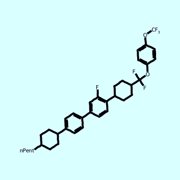 CCCCCC1CCC(c2ccc(-c3ccc(C4CCC(C(F)(F)Oc5ccc(OC(F)(F)F)cc5)CC4)c(F)c3)cc2)CC1